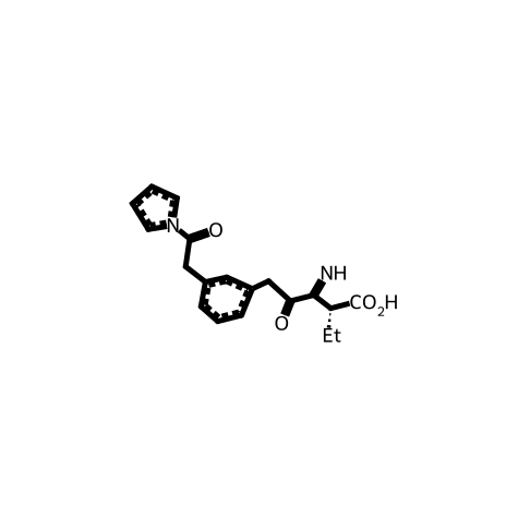 CC[C@H](C(=N)C(=O)Cc1cccc(CC(=O)n2cccc2)c1)C(=O)O